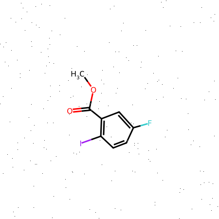 COC(=O)c1cc(F)ccc1I